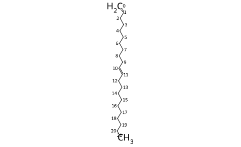 C=CCCCCCCCCC=CCCCCCCCCCC